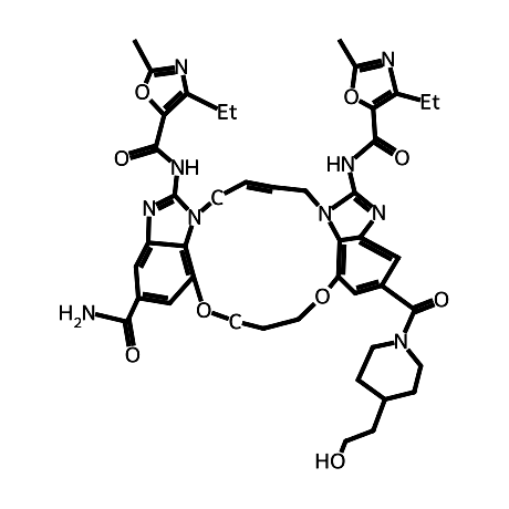 CCc1nc(C)oc1C(=O)Nc1nc2cc(C(N)=O)cc3c2n1C/C=C/Cn1c(NC(=O)c2oc(C)nc2CC)nc2cc(C(=O)N4CCC(CCO)CC4)cc(c21)OCCCO3